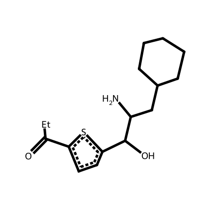 CCC(=O)c1ccc(C(O)C(N)CC2CCCCC2)s1